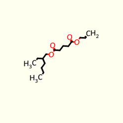 C=CCOC(=O)CCCC(=O)OCC(CC)CCCC